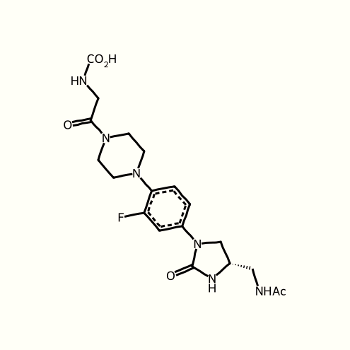 CC(=O)NC[C@H]1CN(c2ccc(N3CCN(C(=O)CNC(=O)O)CC3)c(F)c2)C(=O)N1